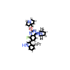 CCCc1cccc2[nH]cc(-c3ccc4c(N5C[C@H]6CC[C@@H](C5)N6)nc(OCC56CCCN5CCC6)nc4c3F)c12